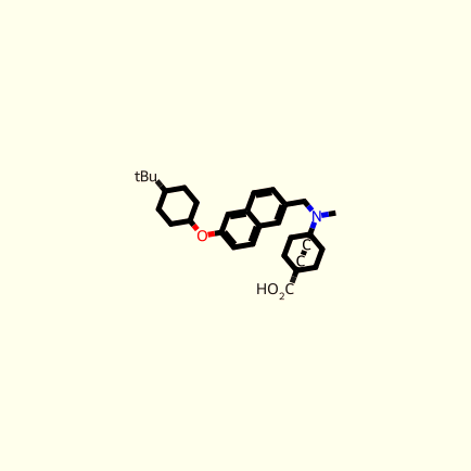 CN(Cc1ccc2cc(OC3CCC(C(C)(C)C)CC3)ccc2c1)C12CCC(C(=O)O)(CC1)CC2